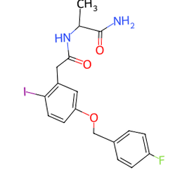 CC(NC(=O)Cc1cc(OCc2ccc(F)cc2)ccc1I)C(N)=O